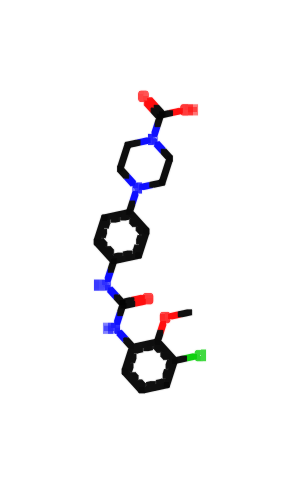 COc1c(Cl)cccc1NC(=O)Nc1ccc(N2CCN(C(=O)O)CC2)cc1